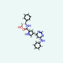 O=C(N[C@H](CO)c1ccccc1)c1cc(-c2cc(Nc3ccccc3)ncn2)c[nH]1